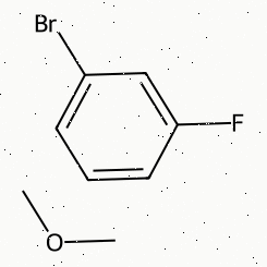 COC.Fc1cccc(Br)c1